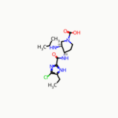 CCc1[nH]c(C(=O)N[C@H]2CCN(C(=O)O)C[C@@H]2NC(C)C)nc1Cl